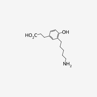 NCCCCCc1cc(CCC(=O)O)ccc1O